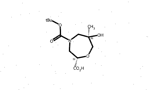 CC(C)(C)OC(=O)N1C[C@@H](C(=O)O)OC[C@](C)(O)C1